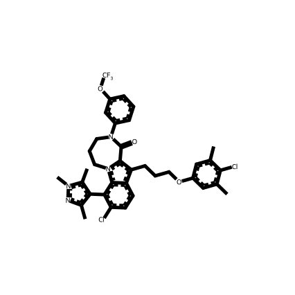 Cc1cc(OCCCc2c3n(c4c(-c5c(C)nn(C)c5C)c(Cl)ccc24)CCCN(c2cccc(OC(F)(F)F)c2)C3=O)cc(C)c1Cl